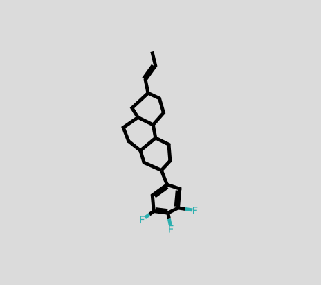 C/C=C/C1CCC2C(CCC3CC(c4cc(F)c(F)c(F)c4)CCC32)C1